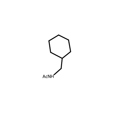 [CH2]C(=O)NCC1CCCCC1